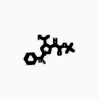 CC(F)C1CN([C@H](C)c2ccccc2)CC1NC(=O)OC(C)(C)C